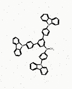 CN(c1ccc(-n2c3ccccc3c3ccccc32)cc1)c1cc(-c2ccc(-n3c4ccccc4c4ccccc43)cc2)cc(-c2ccc(-n3c4ccccc4c4ccccc43)cc2)c1